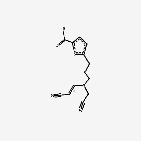 N#C/C=C/N(CC#N)CCCc1ccc(C(=O)O)s1